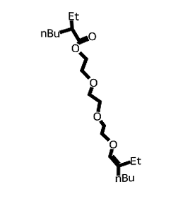 CCCCC(=COCCOCCOCCOC(=O)C(CC)CCCC)CC